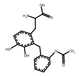 CC(=O)Oc1ccccc1Cc1c(CC(N)C(=O)O)ccc(O)c1O